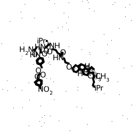 CC(C)CCC[C@@H](C)[C@H]1CC[C@H]2[C@@H]3CC=C4C[C@@H](OCCCNC(=O)CCC(=O)N[C@@H](CC(C)C)C(=O)N[C@@H](CC(N)=O)C(=O)Nc5ccc(COC(=O)Oc6ccc([N+](=O)[O-])cc6)cc5)CC[C@]4(C)[C@H]3CC[C@]12C